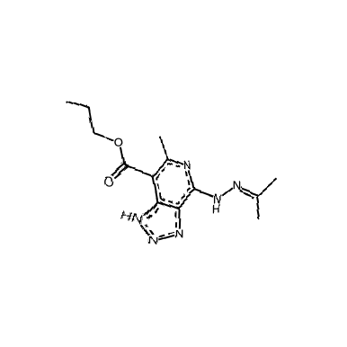 CCCOC(=O)c1c(C)nc(NN=C(C)C)c2nn[nH]c12